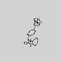 Cn1cc(-c2ccc(Cn3c(=O)sc4ccccc43)cc2)cn1